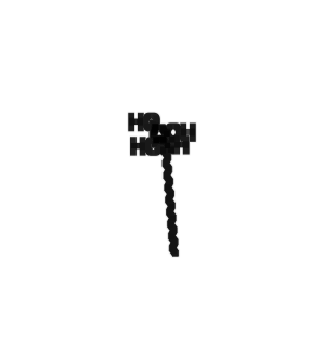 CCCCCCCCCCCCCCCCCCNc1c(O)cc(O)cc1O